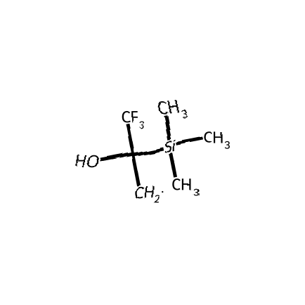 [CH2]C(O)(C(F)(F)F)[Si](C)(C)C